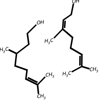 CC(C)=CCC/C(C)=C\CO.CC(C)=CCCC(C)CCO